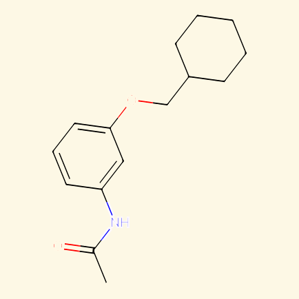 CC(=O)Nc1cccc(OCC2CCCCC2)c1